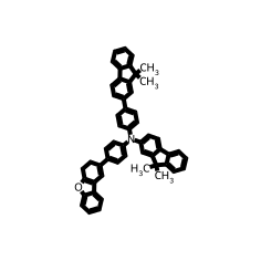 CC1(C)c2ccccc2-c2ccc(-c3ccc(N(c4ccc(C5=Cc6c(oc7ccccc67)CC5)cc4)c4ccc5c(c4)C(C)(C)c4ccccc4-5)cc3)cc21